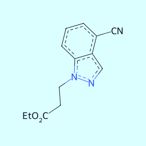 CCOC(=O)CCn1ncc2c(C#N)cccc21